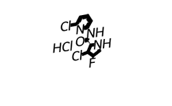 Cl.O=C(Nc1cccc(Cl)n1)[C@@H]1NC[C@@H](F)C1Cl